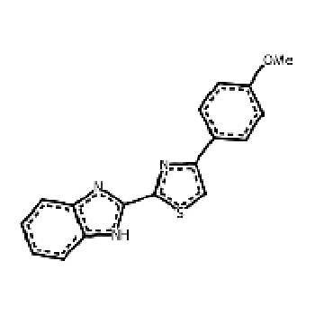 COc1ccc(-c2csc(-c3nc4ccccc4[nH]3)n2)cc1